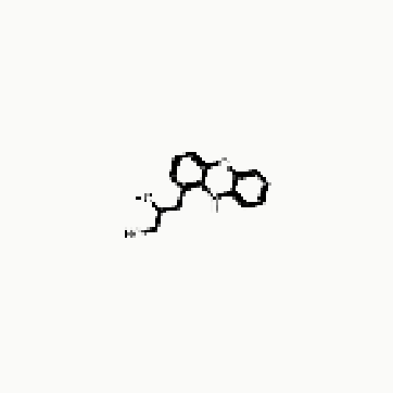 OCC(O)Cc1cccc2c1Nc1ccccc1O2